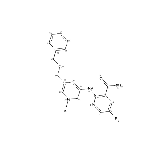 NC(=O)c1cc(F)cnc1NC1=CC(COCc2ccccc2)=CN(I)C1